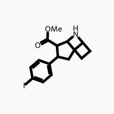 COC(=O)C1C(c2ccc(I)cc2)CC23CCC2NC13